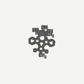 CN1C(=O)c2c(c3c4ccccc4n4c3c3c2c2ccccc2n3[C@@H]2O[C@@]4(C)[C@H](O)[C@@H](O)[C@H]2O)C1=O